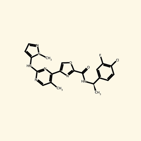 Cc1cnc(Nc2ccnn2C)nc1-c1coc(C(=O)N[C@H](C)c2ccc(Cl)c(F)c2)n1